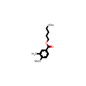 CCCCCCCCCCCCCCOC(=O)c1ccc(OC)c(C)c1